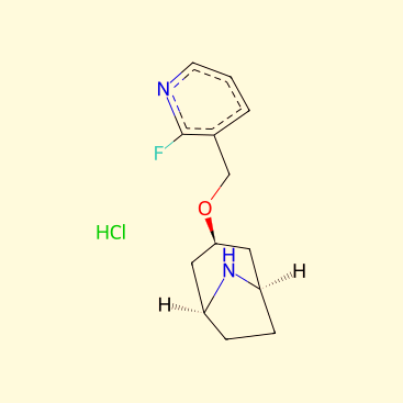 Cl.Fc1ncccc1CO[C@H]1C[C@H]2CC[C@@H](C1)N2